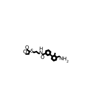 Cc1c(CN)cccc1-c1cccc(C(=O)NCCCSC2CCOC2=O)c1